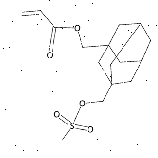 C=CC(=O)OCC12CC3CC(C1)CC(COS(C)(=O)=O)(C3)C2